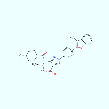 Cc1c(-c2ccc(-n3cc(C(=O)O)c(N(C(=O)[C@H]4CC[C@H](C)CC4)C(C)C)n3)cc2)oc2ccccc12